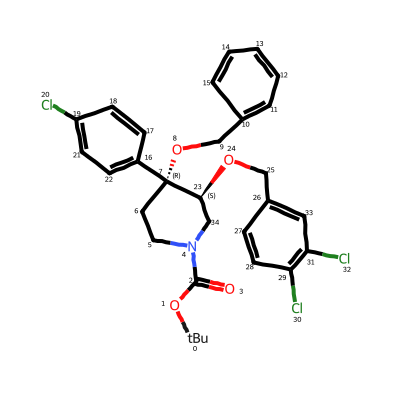 CC(C)(C)OC(=O)N1CC[C@@](OCc2ccccc2)(c2ccc(Cl)cc2)[C@@H](OCc2ccc(Cl)c(Cl)c2)C1